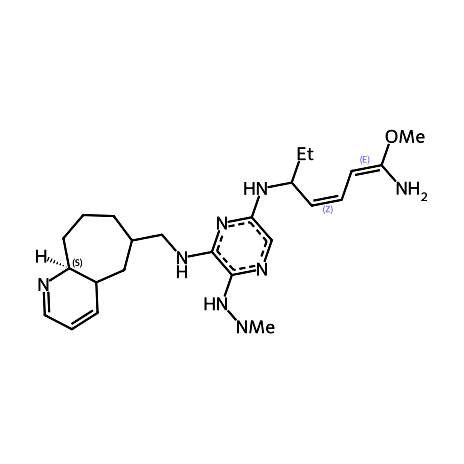 CCC(/C=C\C=C(/N)OC)Nc1cnc(NNC)c(NCC2CCC[C@@H]3N=CC=CC3C2)n1